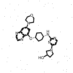 OC1CCN(c2ccnc(N[C@H]3CC[C@@H](Oc4cc(N5CCOCC5)cc5nccnc45)CC3)n2)C1